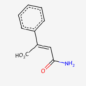 NC(=O)C=C(C(=O)O)c1ccccc1